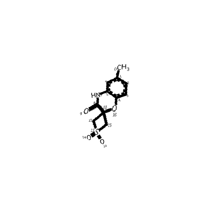 Cc1ccc2c(c1)NC(=O)C1(CS(=O)(=O)C1)O2